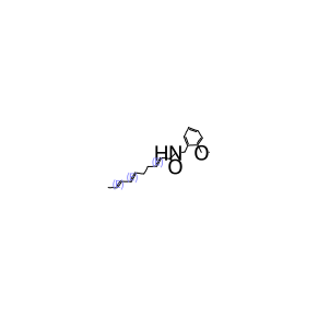 C/C=C/C=C/CC/C=C/C(=O)NCc1ccccc1OC